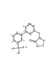 O=C1OCCN1Cc1cncc(-c2cccc(C(F)(F)F)c2)c1